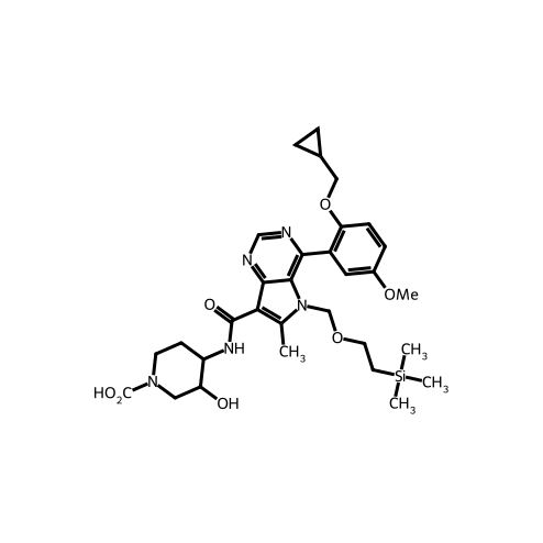 COc1ccc(OCC2CC2)c(-c2ncnc3c(C(=O)NC4CCN(C(=O)O)CC4O)c(C)n(COCC[Si](C)(C)C)c23)c1